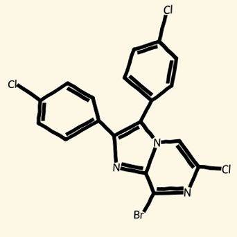 Clc1ccc(-c2nc3c(Br)nc(Cl)cn3c2-c2ccc(Cl)cc2)cc1